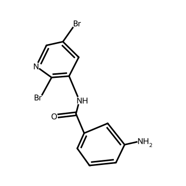 Nc1cccc(C(=O)Nc2cc(Br)cnc2Br)c1